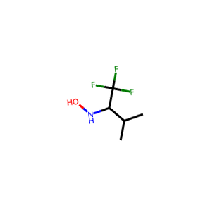 CC(C)C(NO)C(F)(F)F